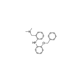 CN(C)Cc1ccccc1Pc1ccccc1OCc1ccccc1